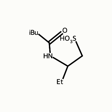 CCC(CS(=O)(=O)O)NC(=O)C(C)CC